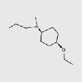 CCCN(C)[C@H]1CC[C@@H](OCC)CC1